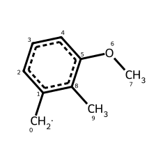 [CH2]c1cccc(OC)c1C